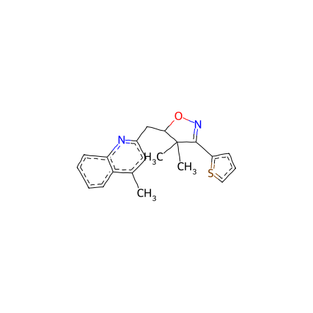 Cc1cc(CC2ON=C(c3cccs3)C2(C)C)nc2ccccc12